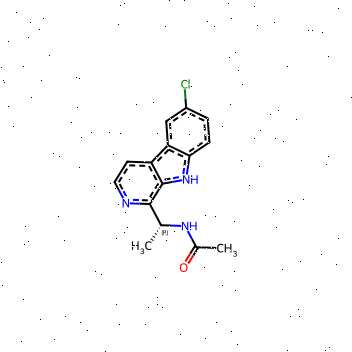 CC(=O)N[C@H](C)c1nccc2c1[nH]c1ccc(Cl)cc12